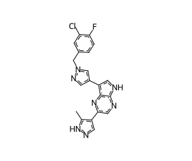 Cc1[nH]ncc1-c1cnc2[nH]cc(-c3cnn(Cc4ccc(F)c(Cl)c4)c3)c2n1